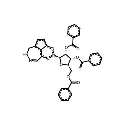 O=C(OC[C@H]1O[C@@H](n2nc3ccc4c-3c(n2)C=NNC4)[C@H](OC(=O)c2ccccc2)[C@@H]1OC(=O)c1ccccc1)c1ccccc1